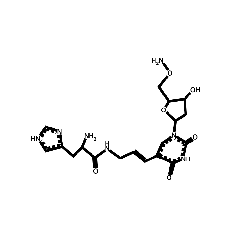 NOCC1OC(n2cc(/C=C/CNC(=O)C(N)Cc3c[nH]cn3)c(=O)[nH]c2=O)CC1O